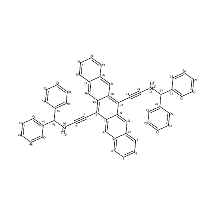 C(#Cc1c2cc3ccccc3cc2c(C#C[SiH2]C(c2ccccc2)c2ccccc2)c2cc3ccccc3cc12)[SiH2]C(c1ccccc1)c1ccccc1